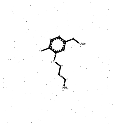 CCc1ccc(CSC)cc1OCCCN